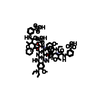 CCN(CC)c1cc(Nc2nc(Nc3cc(N(CC)CC)c(OC)cc3/N=N/c3nc(N4CCCCC4)c(C(C(C)=O)C(=O)Nc4cccc(S(=O)(=O)O)c4)s3)nc(SCCS(=O)(=O)O)n2)c(/N=N/c2nc(N3CCCCC3)c(/C=C(\C(C)=O)C(=O)Nc3cccc(S(=O)(=O)O)c3)s2)cc1OC